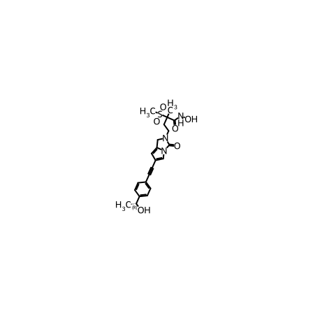 C[C@@H](O)c1ccc(C#Cc2cc3n(c2)C(=O)N(CCC(C)(C(=O)NO)S(C)(=O)=O)C3)cc1